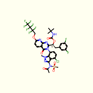 CC(=O)N(c1nn(C)c2c(-n3c([C@H](Cc4cc(F)cc(F)c4)OC(=O)NC(C)(C)C)nc4nc(OCC(F)(F)C(F)(F)C(F)(F)F)ccc4c3=O)ccc(Cl)c12)S(C)(=O)=O